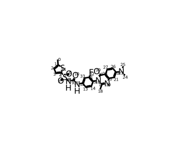 Cc1ccc(S(=O)(=O)NC(=O)Nc2ccc(-n3c(C)nc4cc(N(C)C)ccc4c3=O)c(F)c2)s1